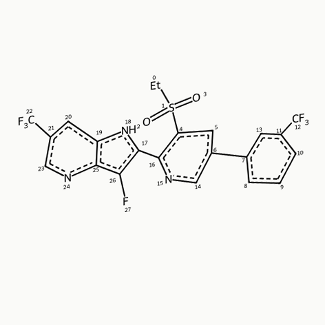 CCS(=O)(=O)c1cc(-c2cccc(C(F)(F)F)c2)cnc1-c1[nH]c2cc(C(F)(F)F)cnc2c1F